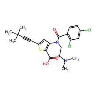 CN(C)C(=O)CN(C(=O)c1ccc(Cl)cc1Cl)c1cc(C#CC(C)(C)C)sc1C(=O)O